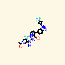 COc1nc(N[C@@H]2CN(C(C)=O)CC2(F)F)nn2ccc(-c3ccc4nnn(C5CC(F)(F)C5)c4c3)c12